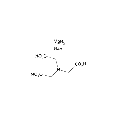 O=C(O)CN(CC(=O)O)CC(=O)O.[MgH2].[NaH]